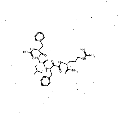 CC(C)C[C@H](NC(=O)[C@H](Cc1ccccc1)NC(=O)O)C(=O)NC(Cc1ccccc1)C(=O)C(=O)N[C@@H](CCCNC(=N)N)C(N)=O